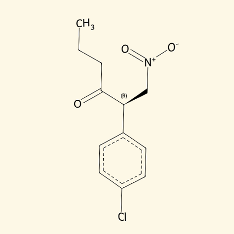 CCCC(=O)[C@@H](C[N+](=O)[O-])c1ccc(Cl)cc1